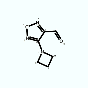 O=Cc1nonc1N1CCC1